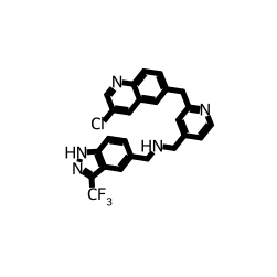 FC(F)(F)c1n[nH]c2ccc(CNCc3ccnc(Cc4ccc5ncc(Cl)cc5c4)c3)cc12